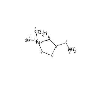 CC(C)(C)[N+]1(C(=O)O)CCC(CN)C1